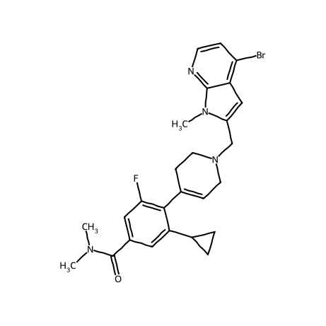 CN(C)C(=O)c1cc(F)c(C2=CCN(Cc3cc4c(Br)ccnc4n3C)CC2)c(C2CC2)c1